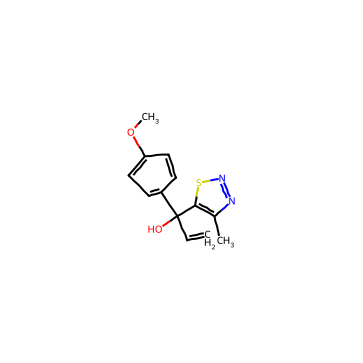 C=CC(O)(c1ccc(OC)cc1)c1snnc1C